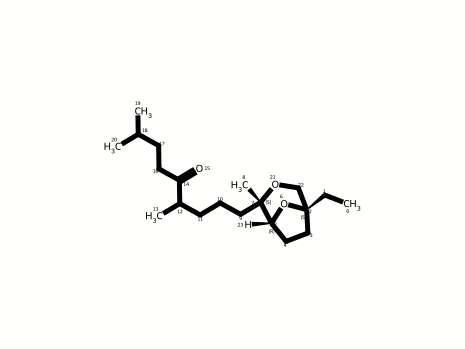 CC[C@@]12CC[C@@H](O1)[C@](C)(CCCC(C)C(=O)CCC(C)C)OC2